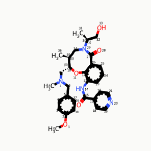 COc1ccc(CN(C)C[C@H]2Oc3c(NC(=O)c4ccncc4)cccc3C(=O)N([C@@H](C)CO)C[C@@H]2C)cc1